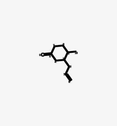 C=CCC1CC(=O)CCC1C